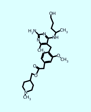 COc1cc(CC(=O)OCC2CCN(C)CC2)ccc1Cc1c(C)nc(N)nc1NC(C)CCCO